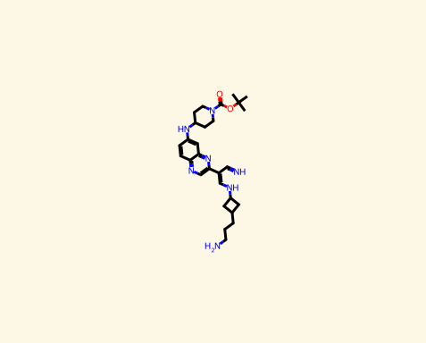 CC(C)(C)OC(=O)N1CCC(Nc2ccc3ncc(/C(C=N)=C/NC4CC(CCCN)C4)nc3c2)CC1